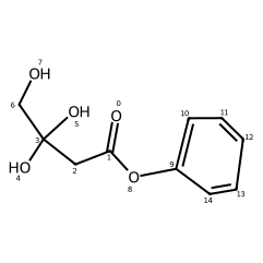 O=C(CC(O)(O)CO)Oc1ccccc1